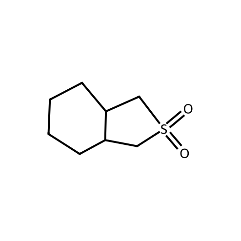 O=S1(=O)CC2CCCCC2C1